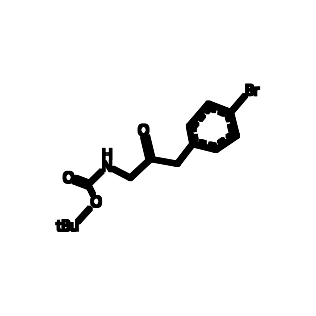 CC(C)(C)OC(=O)NCC(=O)Cc1ccc(Br)cc1